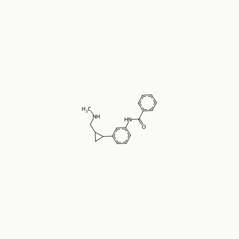 CNCC1CC1c1cccc(NC(=O)c2ccccc2)c1